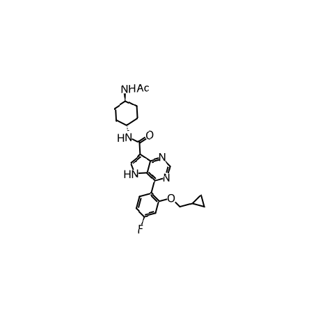 CC(=O)N[C@H]1CC[C@H](NC(=O)c2c[nH]c3c(-c4ccc(F)cc4OCC4CC4)ncnc23)CC1